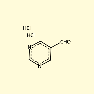 Cl.Cl.O=Cc1cncnc1